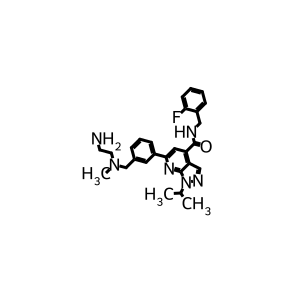 CC(C)n1ncc2c(C(=O)NCc3ccccc3F)cc(-c3cccc(CN(C)CCN)c3)nc21